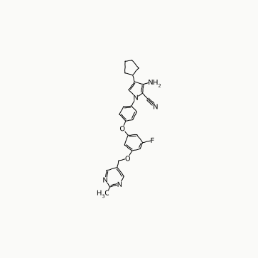 Cc1ncc(COc2cc(F)cc(Oc3ccc(-n4cc(C5CCCC5)c(N)c4C#N)cc3)c2)cn1